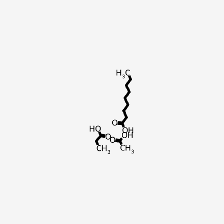 CC(=O)O.CCC(=O)O.CCCCCCCCC(=O)O